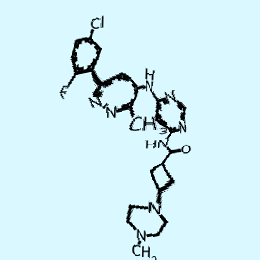 Cc1nnc(-c2cc(Cl)ccc2F)cc1Nc1cc(NC(=O)C2CC(N3CCN(C)CC3)C2)ncn1